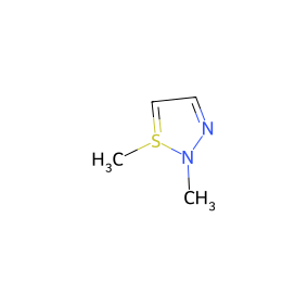 CN1N=CC=S1C